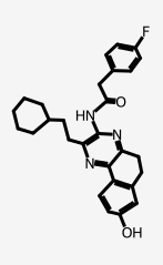 O=C(Cc1ccc(F)cc1)Nc1nc2c(nc1CCC1CCCCC1)-c1ccc(O)cc1CC2